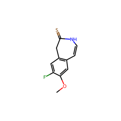 COc1cc2c(cc1F)CC(=S)NC=C2